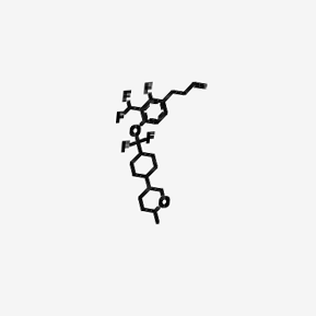 C=CCCc1ccc(OC(F)(F)C2CCC(C3CCC(C)OC3)CC2)c(C(F)F)c1F